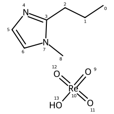 CCCc1nccn1C.[O]=[Re](=[O])(=[O])[OH]